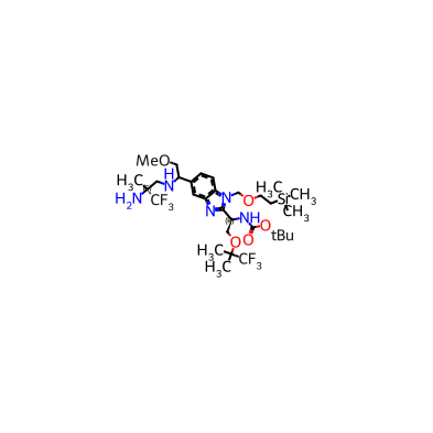 COCC(NC[C@](C)(N)C(F)(F)F)c1ccc2c(c1)nc([C@H](COC(C)(C)C(F)(F)F)NC(=O)OC(C)(C)C)n2COCC[Si](C)(C)C